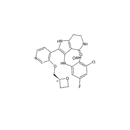 COc1c(Cl)cc(F)cc1Nc1c(-c2ccncc2OC[C@@H]2CCO2)[nH]c2c1C(=O)NCC2